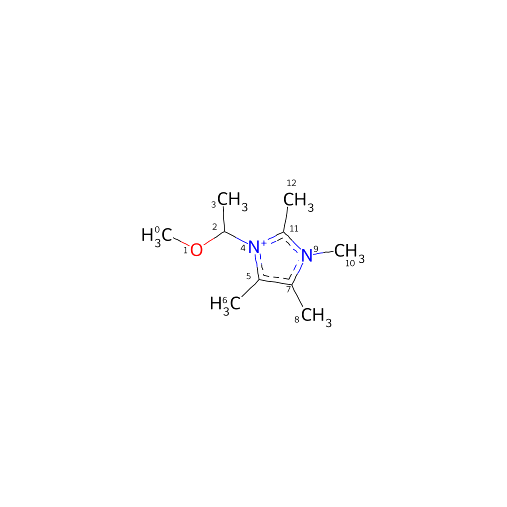 COC(C)[n+]1c(C)c(C)n(C)c1C